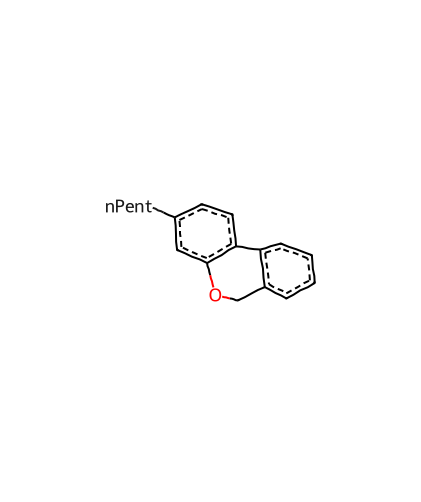 CCCCCc1ccc2c(c1)OCc1ccccc1-2